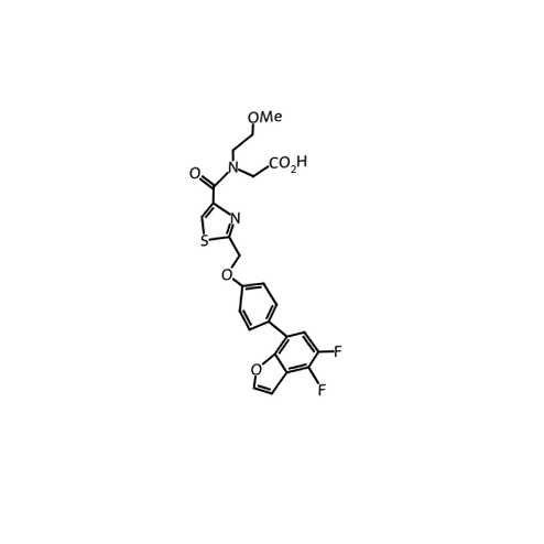 COCCN(CC(=O)O)C(=O)c1csc(COc2ccc(-c3cc(F)c(F)c4ccoc34)cc2)n1